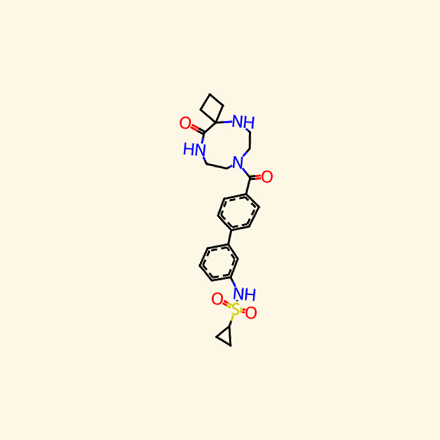 O=C(c1ccc(-c2cccc(NS(=O)(=O)C3CC3)c2)cc1)N1CCNC(=O)C2(CCC2)NCC1